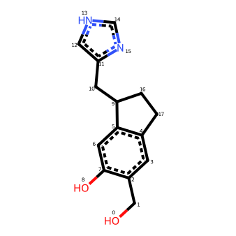 OCc1cc2c(cc1O)C(Cc1c[nH]cn1)CC2